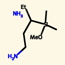 CCC(CCN)[Si](C)(C)OC.N